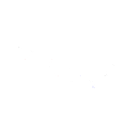 N#Cc1ccnc(N2CCC(OC(=O)COC(=O)C(F)(F)F)CC2)c1